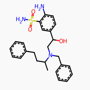 CC(CCc1ccccc1)N(Cc1ccccc1)CC(O)c1ccc(N)c(S(N)(=O)=O)c1